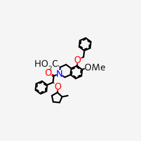 COc1ccc2c(c1OCc1ccccc1)C[C@@H](C(=O)O)N(C(=O)[C@H](OC1CCCC1C)c1ccccc1)C2